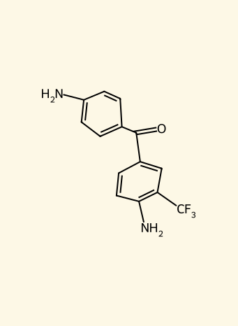 Nc1ccc(C(=O)c2ccc(N)c(C(F)(F)F)c2)cc1